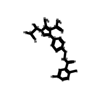 Cc1ccc(F)cc1C(=O)NCc1ccc(-c2nn(C(C)C(F)F)c(N)c2C(N)=O)cc1